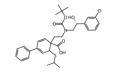 CC(C)SC1C=C(c2ccccc2)C=CC1(CCN(C[C@H](O)c1cccc(Cl)c1)C(=O)OC(C)(C)C)C(=O)O